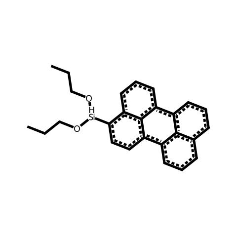 CCCO[SiH](OCCC)c1ccc2c3cccc4cccc(c5cccc1c52)c43